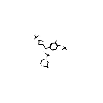 C[C@@H]1C(=O)NCCN1C(=O)N[C@@H](c1ccc(OC(F)(F)F)c(F)c1)[C@H]1C[C@H](C(F)(F)F)C1